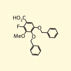 COc1c(F)c(C(=O)O)cc(OCc2ccccc2)c1OCc1ccccc1